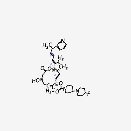 C/C(=C\C=C\C(C)c1cccnc1)[C@H]1OC(=O)C[C@H](O)CC[C@H](C)[C@@H](OC(=O)N2CCC(N3CCC(F)CC3)CC2)/C=C/[C@@H]1C